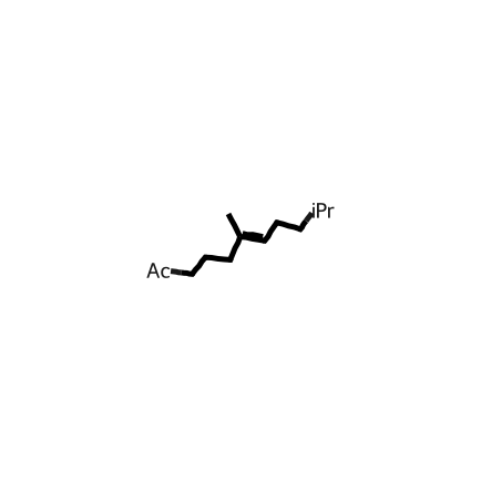 CC(=O)CCC/C(C)=C/CCC(C)C